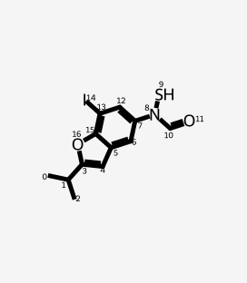 CC(C)c1cc2cc(N(S)C=O)cc(I)c2o1